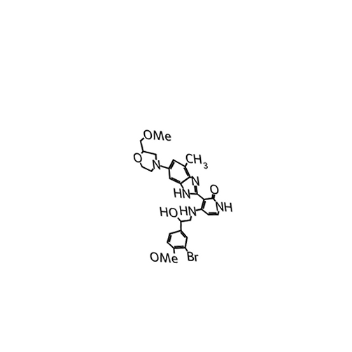 COCC1CN(c2cc(C)c3nc(-c4c(NCC(O)c5ccc(OC)c(Br)c5)cc[nH]c4=O)[nH]c3c2)CCO1